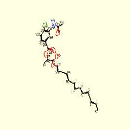 CCCCCCCCCCCCOC(=O)C(C)OC(=O)c1ccc(Cl)c(NC(C)=O)c1